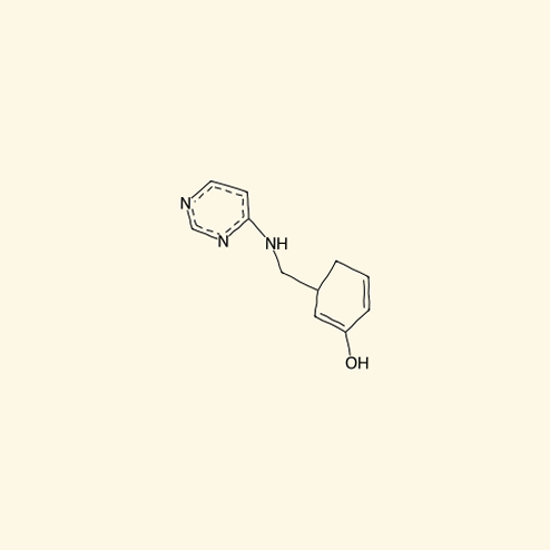 OC1=CC(CNc2ccncn2)CC=C1